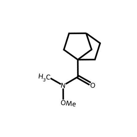 CON(C)C(=O)C12CCC(CC1)C2